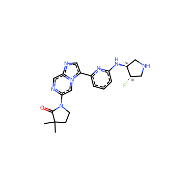 CC1(C)CCN(c2cn3c(-c4cccc(N[C@H]5CNC[C@@H]5F)n4)cnc3cn2)C1=O